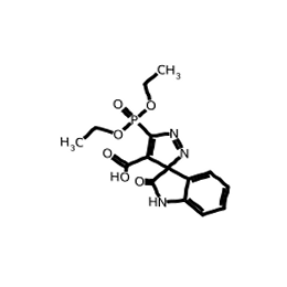 CCOP(=O)(OCC)C1=C(C(=O)O)C2(N=N1)C(=O)Nc1ccccc12